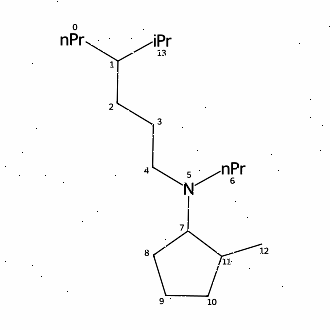 CCCC(CCCN(CCC)C1CCCC1C)C(C)C